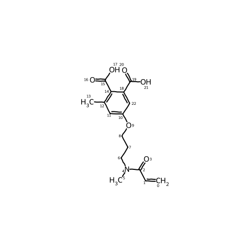 C=CC(=O)N(C)CCCOc1cc(C)c(C(=O)O)c(C(=O)O)c1